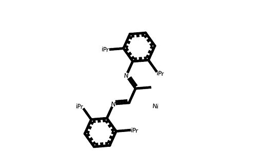 CC(C=Nc1c(C(C)C)cccc1C(C)C)=Nc1c(C(C)C)cccc1C(C)C.[Ni]